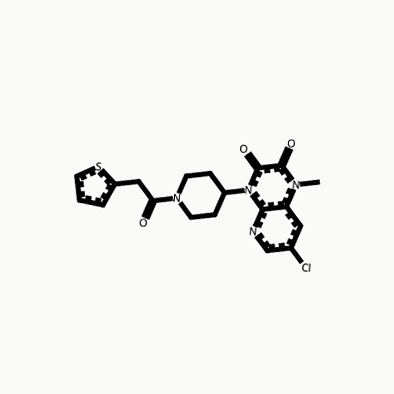 Cn1c(=O)c(=O)n(C2CCN(C(=O)Cc3cccs3)CC2)c2ncc(Cl)cc21